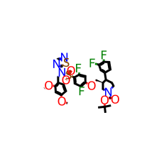 COc1ccc(CN(c2ncns2)S(=O)(=O)c2cc(F)c(OC[C@@H]3CN(C(=O)OC(C)(C)C)CCC3c3ccc(F)c(F)c3)cc2F)c(OC)c1